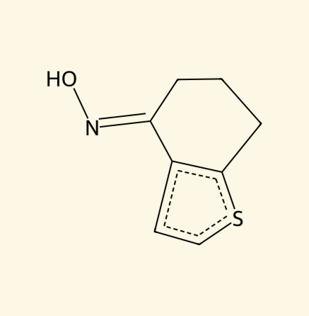 ON=C1CCCc2sccc21